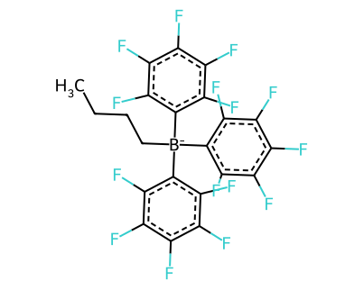 CCCC[B-](c1c(F)c(F)c(F)c(F)c1F)(c1c(F)c(F)c(F)c(F)c1F)c1c(F)c(F)c(F)c(F)c1F